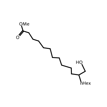 CCCCCCC(CO)CCCCCCCCCCC(=O)OC